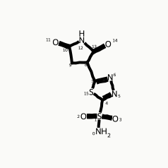 NS(=O)(=O)c1nnc(C2CC(=O)NC2=O)s1